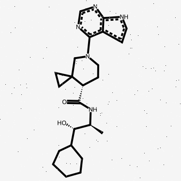 C[C@H](NC(=O)[C@H]1CCN(c2ncnc3[nH]ccc23)CC12CC2)[C@@H](O)C1CCCCC1